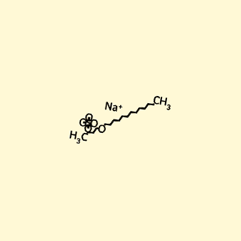 CCCCCCCCCCCCCOC(CCC)OS(=O)(=O)[O-].[Na+]